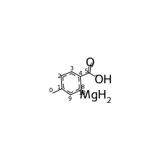 Cc1ccc(C(=O)O)cc1.[MgH2]